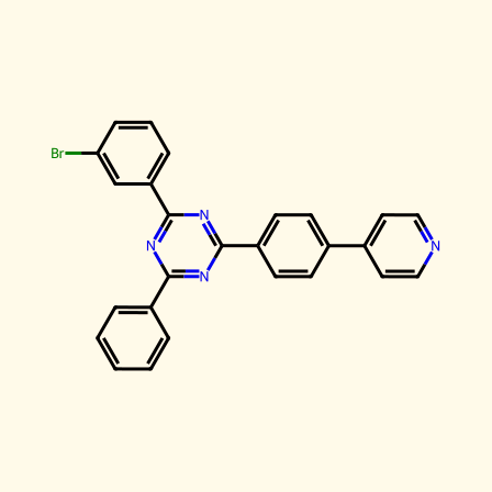 Brc1cccc(-c2nc(-c3ccccc3)nc(-c3ccc(-c4ccncc4)cc3)n2)c1